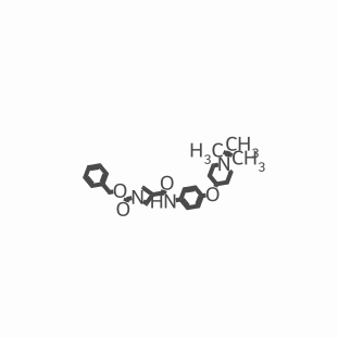 CC(C)(C)N1CCC(Oc2ccc(NC(=O)C3CN(C(=O)OCc4ccccc4)C3)cc2)CC1